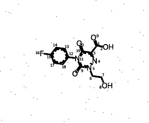 O=C(O)c1nn(CCO)c(=O)n(-c2ccc(F)cc2)c1=O